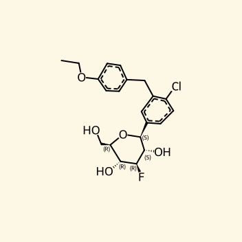 CCOc1ccc(Cc2cc([C@@H]3O[C@H](CO)[C@@H](O)[C@H](F)[C@H]3O)ccc2Cl)cc1